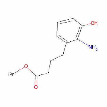 CC(C)OC(=O)CCCc1cccc(O)c1N